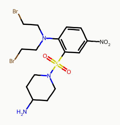 NC1CCN(S(=O)(=O)c2cc([N+](=O)[O-])ccc2N(CCBr)CCBr)CC1